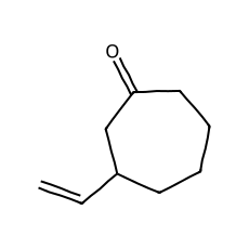 C=CC1CCCCC(=O)C1